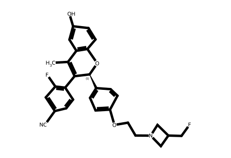 CC1=C(c2ccc(C#N)cc2F)[C@H](c2ccc(OCCN3CC(CF)C3)cc2)Oc2ccc(O)cc21